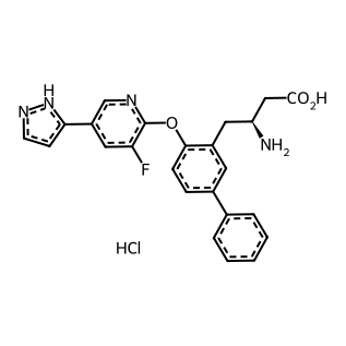 Cl.N[C@H](CC(=O)O)Cc1cc(-c2ccccc2)ccc1Oc1ncc(-c2ccn[nH]2)cc1F